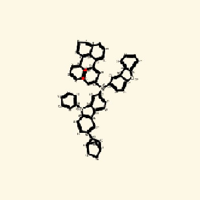 c1ccc(-c2cccc3cccc(-c4cccc(N(c5ccc6oc7ccccc7c6c5)c5ccc6c7cc(C8CC9CCC8C9)ccc7n(-c7ccccc7)c6c5)c4)c23)cc1